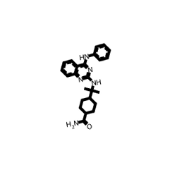 CC(C)(Nc1nc(Nc2ccccc2)c2ccccc2n1)C1CCC(C(N)=O)CC1